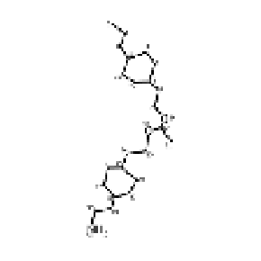 CCCC1CCC(CCOC(C)OCCC2CCC(CCN)CC2)CC1